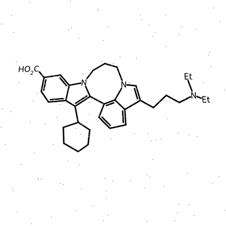 CCN(CC)CCCc1cn2c3c(cccc13)-c1c(C3CCCCC3)c3ccc(C(=O)O)cc3n1CCC2